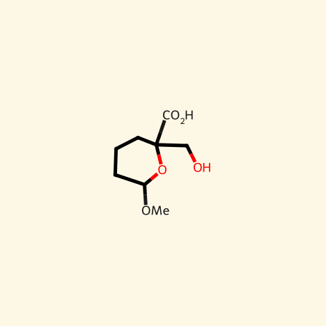 COC1CCCC(CO)(C(=O)O)O1